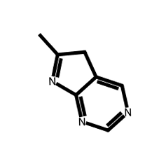 CC1=Nc2ncncc2C1